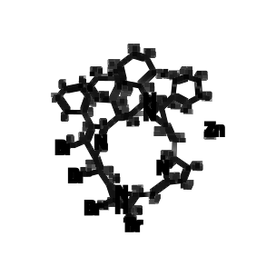 BrC1=C(c2ccccc2)c2nc1c(Br)c1[nH]c(cc3nc(cc4[nH]c(c2-c2ccccc2)c(-c2ccccc2)c4-c2ccccc2)C=C3)c(Br)c1Br.[Zn]